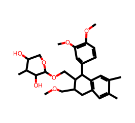 COCC1Cc2cc(C)c(C)cc2C(c2ccc(OC)c(OC)c2)C1COC1OCC(O)C(C)C1O